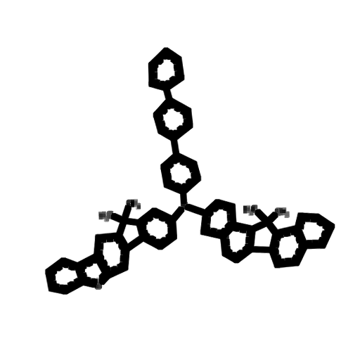 CC1(C)c2cc(N(c3ccc(-c4ccc(-c5ccccc5)cc4)cc3)c3ccc4c5c(ccc4c3)-c3ccc4ccccc4c3C5(C)C)ccc2-c2cc3oc4ccccc4c3cc21